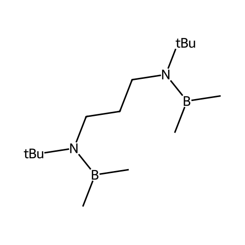 CB(C)N(CCCN(B(C)C)C(C)(C)C)C(C)(C)C